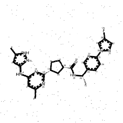 Cc1cc(Nc2cc(C)[nH]n2)nc([C@@H]2CC[C@H](C(=O)N[C@@H](C)c3ccc(-n4cc(F)cn4)nc3)C2)n1